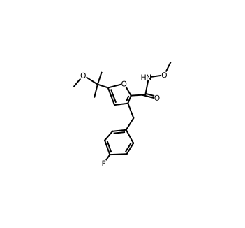 CONC(=O)c1oc(C(C)(C)OC)cc1Cc1ccc(F)cc1